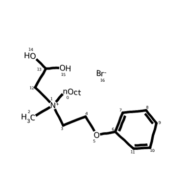 CCCCCCCC[N+](C)(CCOc1ccccc1)CC(O)O.[Br-]